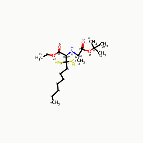 CCCCCCCC(S)(S)[C@H](N[C@@H](C)C(=O)OC(C)(C)C)C(=O)OCC